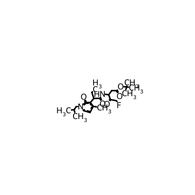 CCC(C(=O)NC(CC(=O)OC(C)(C)C)C(=O)CF)c1c(C)ccn(CC(C)C)c1=O